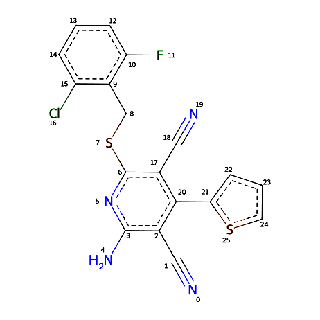 N#Cc1c(N)nc(SCc2c(F)cccc2Cl)c(C#N)c1-c1cccs1